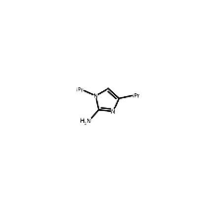 CC(C)c1cn(C(C)C)c(N)n1